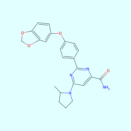 CC1CCCN1c1cc(C(N)=O)nc(-c2ccc(Oc3ccc4c(c3)OCO4)cc2)n1